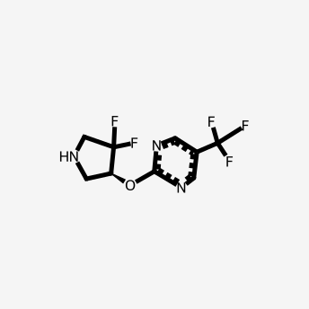 FC(F)(F)c1cnc(O[C@H]2CNCC2(F)F)nc1